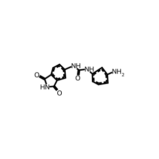 Nc1cccc(NC(=O)Nc2ccc3c(c2)C(=O)NC3=O)c1